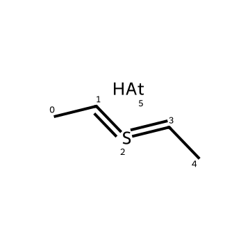 CC=S=CC.[AtH]